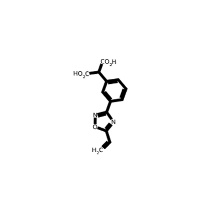 C=Cc1nc(-c2cccc(C(C(=O)O)C(=O)O)c2)no1